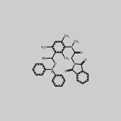 Cc1cc(C)c(N(C)C(=O)CN2C(=O)c3ccccc3C2=O)c(C)c1C(O[SiH](c1ccccc1)c1ccccc1)C(C)(C)C